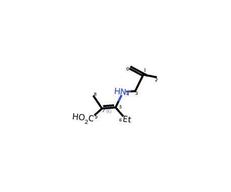 C=C(C)CN/C(CC)=C(\C)C(=O)O